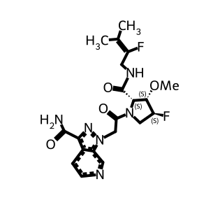 CO[C@H]1[C@@H](C(=O)NCC(F)=C(C)C)N(C(=O)Cn2nc(C(N)=O)c3ccncc32)C[C@@H]1F